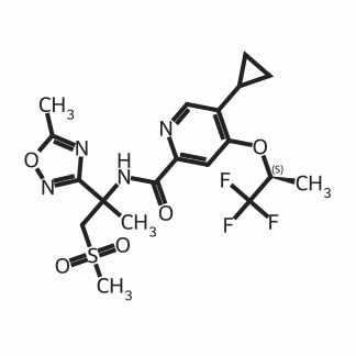 Cc1nc(C(C)(CS(C)(=O)=O)NC(=O)c2cc(O[C@@H](C)C(F)(F)F)c(C3CC3)cn2)no1